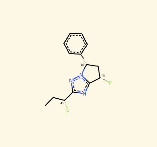 CC[C@@H](F)c1nc2n(n1)[C@H](c1ccccc1)C[C@@H]2F